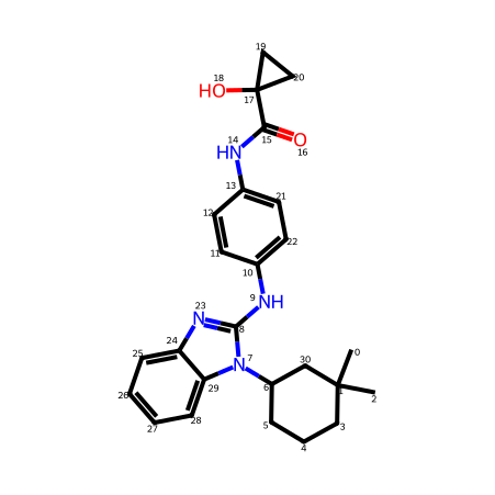 CC1(C)CCCC(n2c(Nc3ccc(NC(=O)C4(O)CC4)cc3)nc3ccccc32)C1